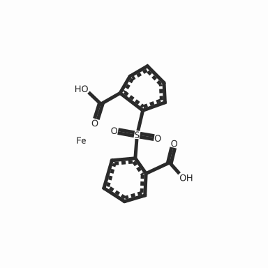 O=C(O)c1ccccc1S(=O)(=O)c1ccccc1C(=O)O.[Fe]